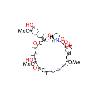 CO[C@H]1C[C@@H]2CC[C@@H](C)[C@@](O)(C2)C(=O)C(=O)N2CCCC[C@H]2C(=O)C[C@H]([C@H](C)CC2CC[C@@H](O)[C@H](OC)C2)CC(=O)[C@H](C)/C=C(\C)[C@@H](O)[C@@H](OC)C(=O)[C@H](C)C[C@H](C)/C=C/C=C/C=C/1C